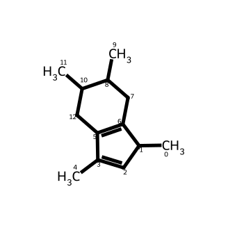 C[C]1C=C(C)C2=C1CC(C)C(C)C2